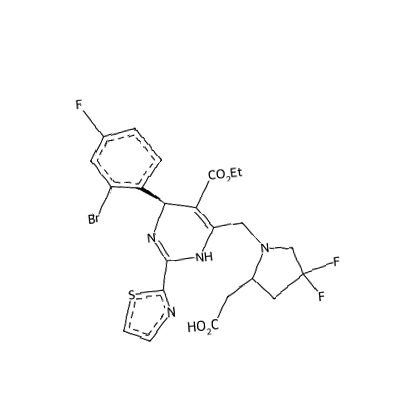 CCOC(=O)C1=C(CN2CC(F)(F)CC2CC(=O)O)NC(c2nccs2)=N[C@H]1c1ccc(F)cc1Br